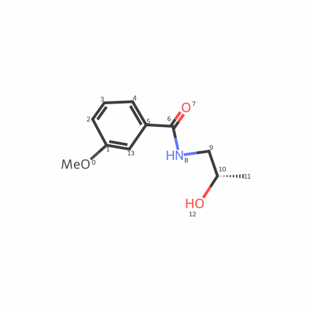 COc1cccc(C(=O)NC[C@H](C)O)c1